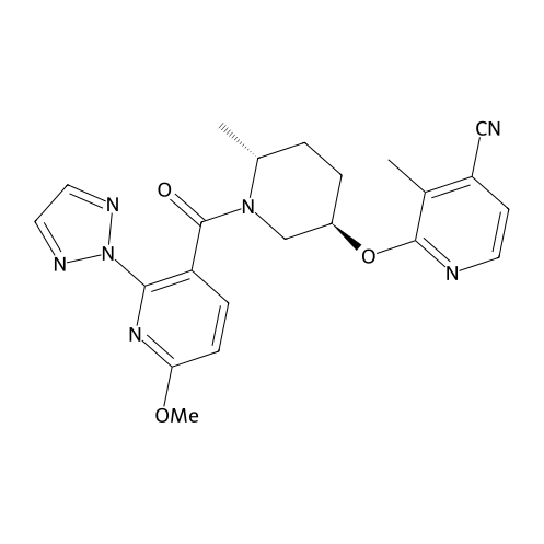 COc1ccc(C(=O)N2C[C@H](Oc3nccc(C#N)c3C)CC[C@H]2C)c(-n2nccn2)n1